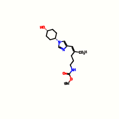 CC(C)(C)OC(=O)NCCC/C(=C\c1cn([C@H]2CC[C@@H](O)CC2)cn1)C(=O)O